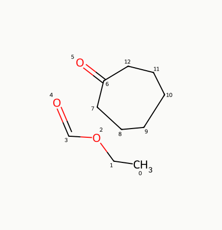 CCOC=O.O=C1CCCCCC1